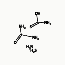 N.NC(N)=O.NC(O)=S.S